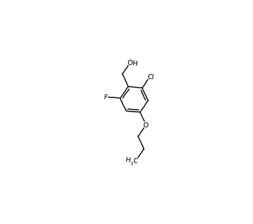 CCCOc1cc(F)c(CO)c(Cl)c1